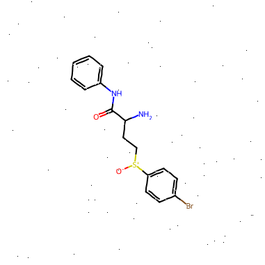 NC(CC[S+]([O-])c1ccc(Br)cc1)C(=O)Nc1ccccc1